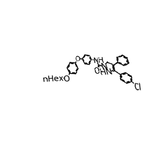 CCCCCCOc1ccc(Oc2ccc(NC(=O)N3CC(c4ccccc4)=C(c4ccc(Cl)cc4)N3)cc2)cc1